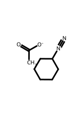 CC(=O)[O-].N#[N+]C1CCCCC1